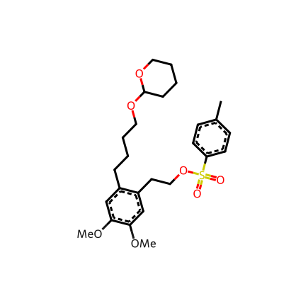 COc1cc(CCCCOC2CCCCO2)c(CCOS(=O)(=O)c2ccc(C)cc2)cc1OC